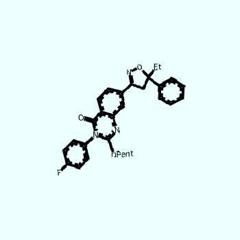 CCCCCc1nc2cc(C3=NOC(CC)(c4ccccc4)C3)ccc2c(=O)n1-c1ccc(F)cc1